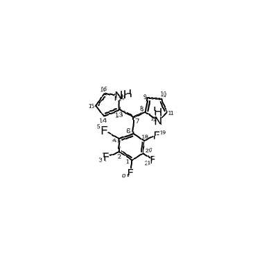 Fc1c(F)c(F)c(C(c2ccc[nH]2)c2ccc[nH]2)c(F)c1F